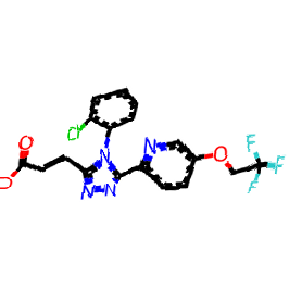 O=C(O)/C=C/c1nnc(-c2ccc(OCC(F)(F)F)cn2)n1-c1ccccc1Cl